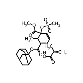 C=C(C)C(=O)O.COC(=O)C1(OS(C)(=O)=O)C=CC=C(C(=O)OC23CC4CC(CC(C4)C2)C3)C1C